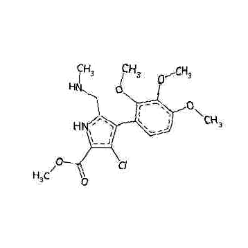 CNCc1[nH]c(C(=O)OC)c(Cl)c1-c1ccc(OC)c(OC)c1OC